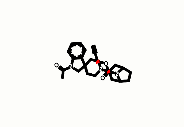 C#CCOC(=O)N1C2CCC1CC(N1CCC3(CC1)CN(C(C)=O)c1ccccc13)C2